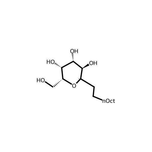 CCCCCCCCCC[C]1O[C@H](CO)[C@H](O)[C@H](O)[C@H]1O